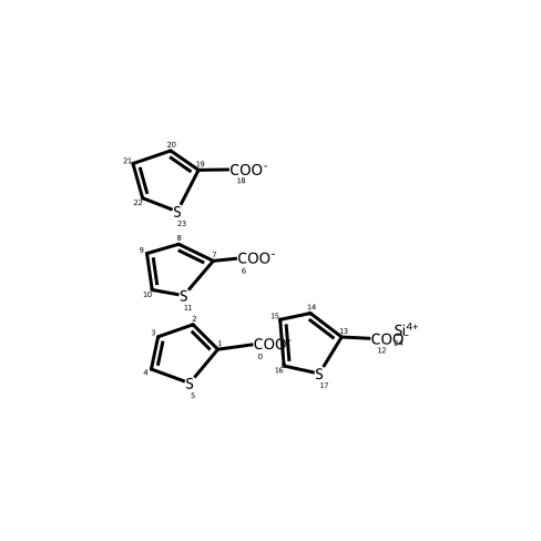 O=C([O-])c1cccs1.O=C([O-])c1cccs1.O=C([O-])c1cccs1.O=C([O-])c1cccs1.[Si+4]